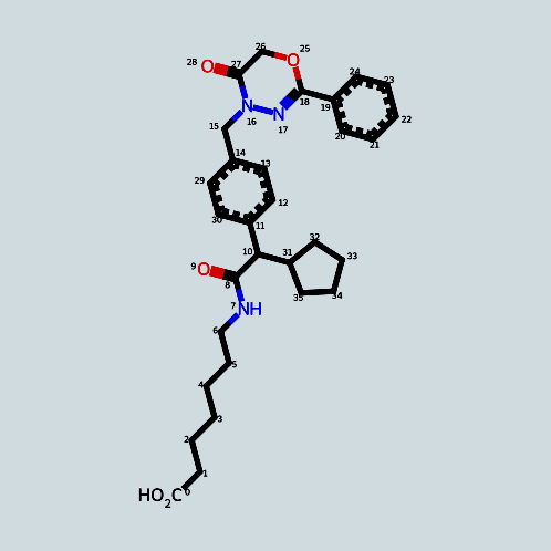 O=C(O)CCCCCCNC(=O)C(c1ccc(CN2N=C(c3ccccc3)OCC2=O)cc1)C1CCCC1